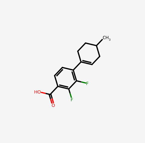 CC1CC=C(c2ccc(C(=O)O)c(F)c2F)CC1